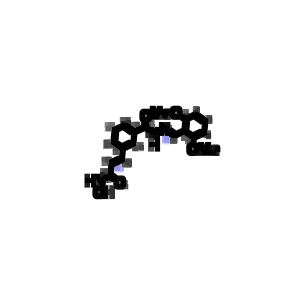 COc1cccc(OC)c1/C=N/NC(=O)c1cccc(/C=C/C(=O)NO)c1